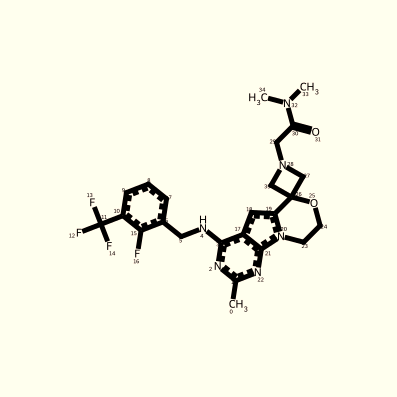 Cc1nc(NCc2cccc(C(F)(F)F)c2F)c2cc3n(c2n1)CCOC31CN(CC(=O)N(C)C)C1